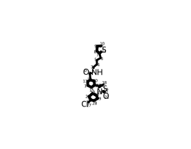 O=C(NCCCCc1cccs1)c1cccc(-c2csc(=O)n2-c2ccc(Cl)cc2)c1